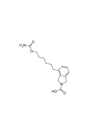 NC(=O)OCCCCCCc1cccc2c1CN(C(=O)O)C2